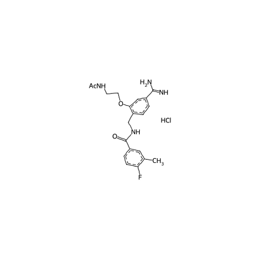 CC(=O)NCCOc1cc(C(=N)N)ccc1CNC(=O)c1ccc(F)c(C)c1.Cl